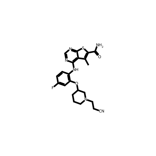 Cc1c(C(N)=O)sc2ncnc(Nc3ccc(F)cc3OC3CCCN(CCC#N)C3)c12